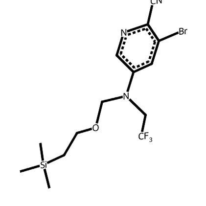 C[Si](C)(C)CCOCN(CC(F)(F)F)c1cnc(C#N)c(Br)c1